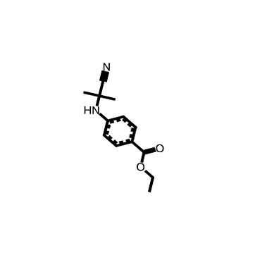 CCOC(=O)c1ccc(NC(C)(C)C#N)cc1